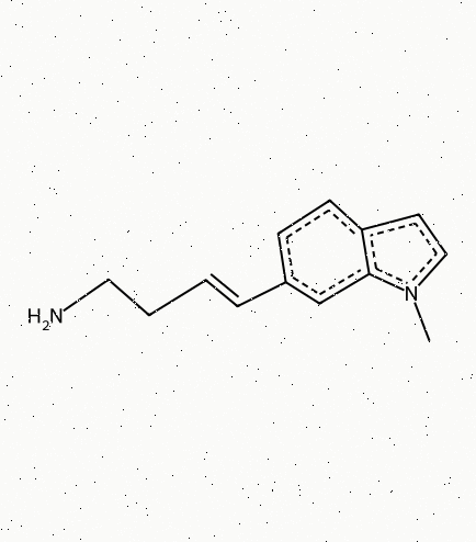 Cn1ccc2ccc(/C=C/CCN)cc21